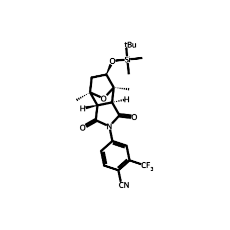 CC(C)(C)[Si](C)(C)O[C@@H]1C[C@@]2(C)O[C@]1(C)[C@H]1C(=O)N(c3ccc(C#N)c(C(F)(F)F)c3)C(=O)[C@@H]12